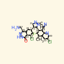 Cc1c(F)c(-c2c(-c3cc(Cl)c4c(=O)[nH]nc(CN)c4c3)cnn2C)c(C#N)c2ncc(Cl)cc12